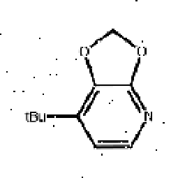 CC(C)(C)c1ccnc2c1OCO2